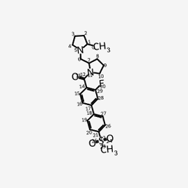 CC1CCCN1CC1CCCN1C(=O)c1ccc(-c2ccc(S(C)(=O)=O)cc2)cc1F